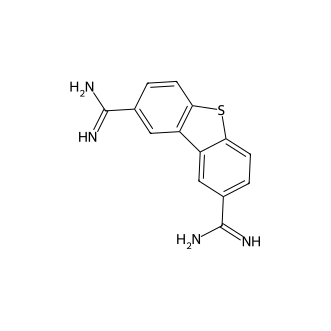 N=C(N)c1ccc2sc3ccc(C(=N)N)cc3c2c1